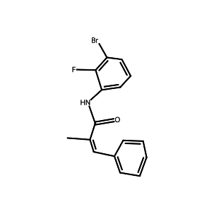 CC(=Cc1ccccc1)C(=O)Nc1cccc(Br)c1F